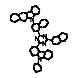 c1ccc(-n2c3ccccc3c3c(-c4nc(-c5ccc6ccccc6c5)nc(-c5ccc(-n6c7ccccc7c7cc8ccccc8cc76)c6ccccc56)n4)cccc32)cc1